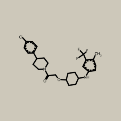 Cc1ccc(NC2CCC(OCC(=O)N3CCC(c4ccc(Cl)cc4)CC3)CC2)cc1C(F)(F)F